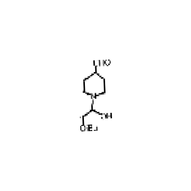 CC(C)CO[CH]C(O)N1CCC(C=O)CC1